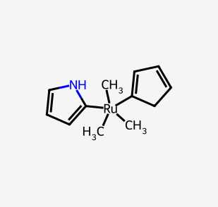 [CH3][Ru]([CH3])([CH3])([C]1=CC=CC1)[c]1ccc[nH]1